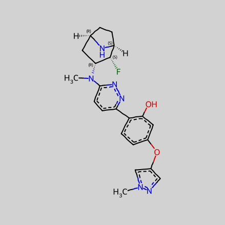 CN(c1ccc(-c2ccc(Oc3cnn(C)c3)cc2O)nn1)[C@@H]1C[C@H]2CC[C@H](N2)[C@@H]1F